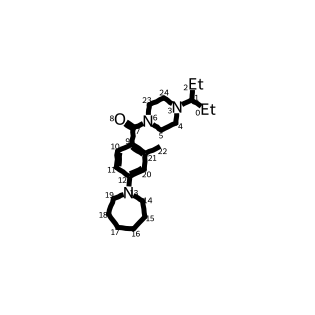 CCC(CC)N1CCN(C(=O)c2ccc(N3CCCCCC3)cc2C)CC1